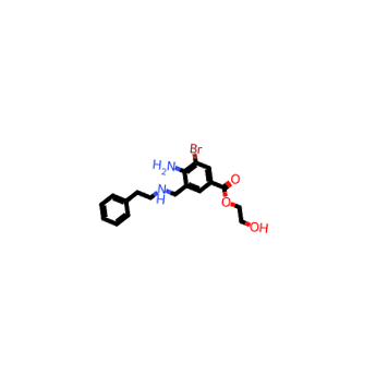 Nc1c(Br)cc(C(=O)OCCO)cc1CNCCc1ccccc1